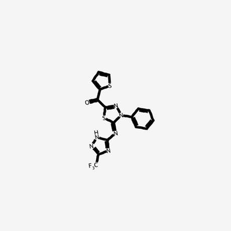 O=C(c1cccs1)c1nn(-c2ccccc2)c(=Nc2nc(C(F)(F)F)n[nH]2)s1